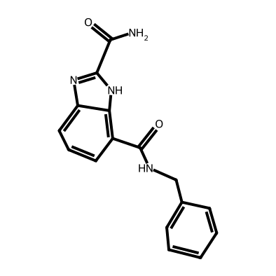 NC(=O)c1nc2cccc(C(=O)NCc3ccccc3)c2[nH]1